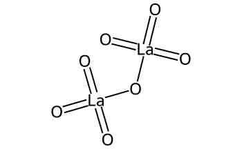 [O]=[La](=[O])(=[O])[O][La](=[O])(=[O])=[O]